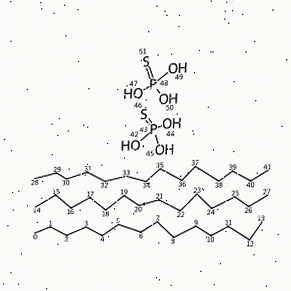 CCCCCCCCCCCCCC.CCCCCCCCCCCCCC.CCCCCCCCCCCCCC.OP(O)(O)=S.OP(O)(O)=S